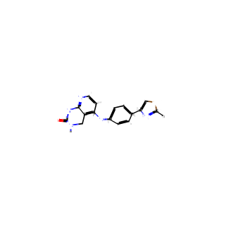 CCN1Cc2c(Nc3ccc(-c4csc(C)n4)cc3)ccnc2NC1=O